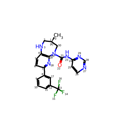 C[C@@H]1CNc2ccc(-c3cccc(C(F)(F)F)c3)nc2N(C(=O)Nc2ccncn2)C1